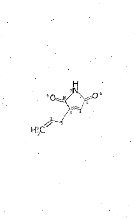 C=CCC1=CC(=O)NC1=O